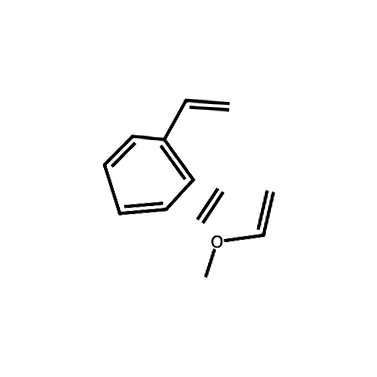 C=C.C=COC.C=Cc1ccccc1